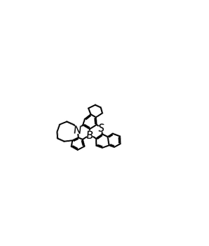 c1cc2c3c(c1)B1c4ccc5ccccc5c4Sc4c5c(cc(c41)N3CCCCCC2)CCCC5